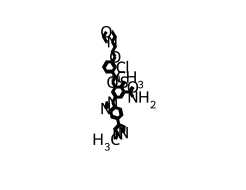 C[C@@H](OC1C=C(n2cnc3cc(-c4cnn(C)c4)ccc32)C=C(C(N)=O)C1=S)c1cccc(OCCN2CCOCC2)c1Cl